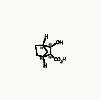 O=C(O)[C@H]1[C@@H]2CC[C@@H](C2)[C@H]1O